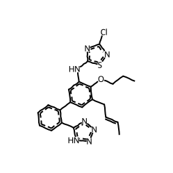 C/C=C/Cc1cc(-c2ccccc2-c2nnn[nH]2)cc(Nc2nc(Cl)ns2)c1OCCC